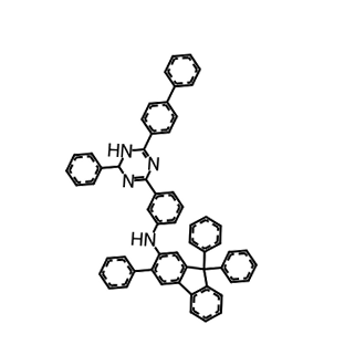 c1ccc(-c2ccc(C3=NC(c4cccc(Nc5cc6c(cc5-c5ccccc5)-c5ccccc5C6(c5ccccc5)c5ccccc5)c4)=NC(c4ccccc4)N3)cc2)cc1